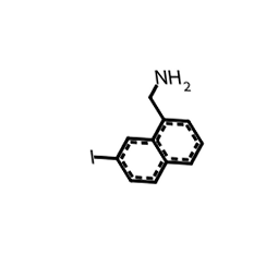 NCc1cccc2ccc(I)cc12